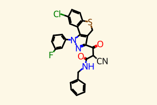 N#CC(C(=O)NCc1ccccc1)C(=O)c1nn(-c2cccc(F)c2)c2c1CSc1ccc(Cl)cc1-2